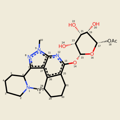 CCCN1CCCCC1c1nn(C)c2nc(O[C@H]3O[C@@H](OC(C)=O)[C@@H](O)[C@@H](O)[C@H]3O)c3c(c12)CCCC3